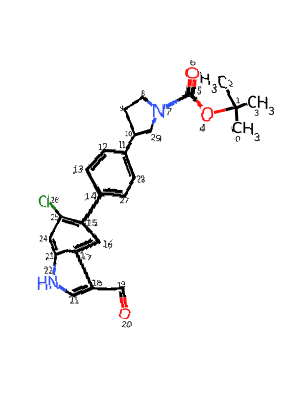 CC(C)(C)OC(=O)N1CCC(c2ccc(-c3cc4c(C=O)c[nH]c4cc3Cl)cc2)C1